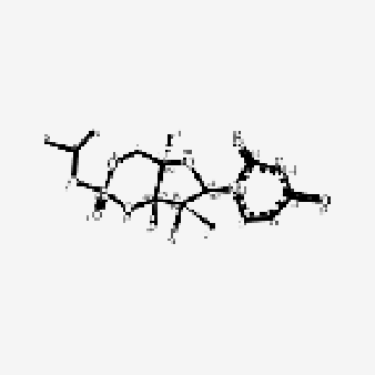 CC(C)OP1(=O)OC[C@@]2(F)O[C@@H](n3ccc(=O)[nH]c3=O)[C@](C)(F)[C@@H]2O1